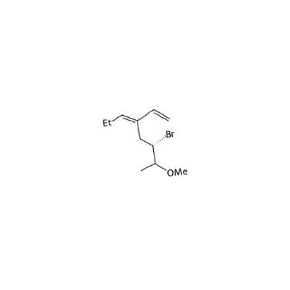 C=C/C(=C/CC)C[C@H](Br)C(C)OC